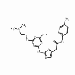 Cc1ccc(NC(=O)Cc2cnc(Nc3nc(C)nc(OCCN(C)C)n3)s2)cc1